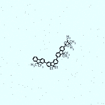 C=C1OB(c2ccc3c(c2)C(C)(C(F)(F)F)c2cc(-c4ccc5c(c4)-c4cc(-c6ccc7c(c6)C(C)(C(F)(F)F)c6ccccc6-7)ccc4C5(CC)CC)ccc2-3)OC1(C)C